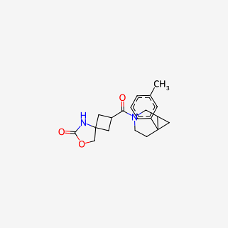 Cc1cccc(C23CCN(C(=O)C4CC5(COC(=O)N5)C4)CC2C3)c1